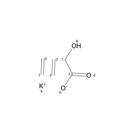 C=C.C=C.O=C([O-])CO.[K+]